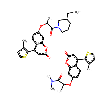 CCOC(=O)C[C@H]1CCCN(C(=O)C(C)Oc2ccc3c(-c4sccc4C)cc(=O)oc3c2)C1.Cc1ccsc1-c1cc(=O)oc2cc(OC(C)C(=O)N(C)C)ccc12